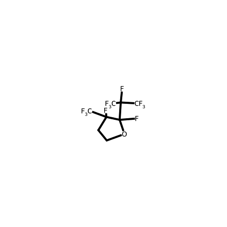 FC(F)(F)C1(F)CCOC1(F)C(F)(C(F)(F)F)C(F)(F)F